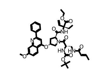 C=C[C@@](CC)(NC(=O)[C@@H]1C[C@@H](Oc2cc(-c3ccccc3)nc3cc(OC)ccc23)CN1C(=O)[C@H](CNC(=O)/C=C/C)NC(=O)OC(C)(C)C)C(=O)OCC